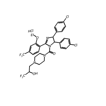 CCOc1cc(C(F)(F)F)ccc1C1=NC(c2ccc(Cl)cc2)C(c2ccc(Cl)cc2)N1C(=O)N1CCN(CC(O)C(F)(F)F)CC1.Cl